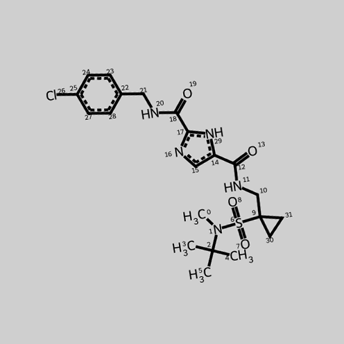 CN(C(C)(C)C)S(=O)(=O)C1(CNC(=O)c2cnc(C(=O)NCc3ccc(Cl)cc3)[nH]2)CC1